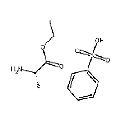 CCOC(=O)[C@H](C)N.O=S(=O)(O)c1ccccc1